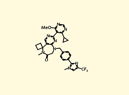 COc1ncnc(C2CC2)c1-c1ncc2c(n1)N(Cc1ccc(-c3nc(C(F)(F)F)cn3C)cc1)CC(=O)N(C)C21CCC1